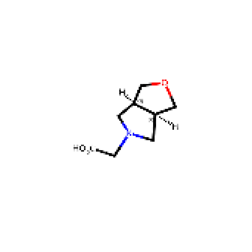 O=C(O)CN1C[C@H]2COC[C@H]2C1